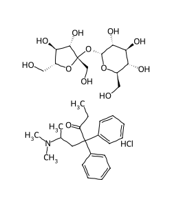 CCC(=O)C(CC(C)N(C)C)(c1ccccc1)c1ccccc1.Cl.OC[C@H]1O[C@@](CO)(O[C@H]2O[C@H](CO)[C@@H](O)[C@H](O)[C@H]2O)[C@@H](O)[C@@H]1O